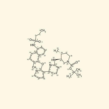 CCCS(=O)(=O)Nc1cccc2c(Oc3ncccc3-c3ccnc(N[C@@H]4CN(C(=O)OC(C)(C)C)CC[C@H]4C)n3)c(C)ccc12